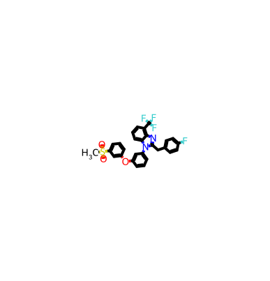 CS(=O)(=O)c1cccc(Oc2cccc(-n3c(Cc4ccc(F)cc4)nc4c(C(F)(F)F)cccc43)c2)c1